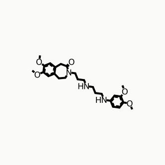 COc1ccc(NCCCNCCCN2CCc3cc(OC)c(OC)cc3CC2=O)cc1OC